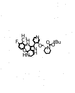 Cc1c(F)cccc1Nc1c(-c2ccncc2OC[C@H]2CCCCN2C(=O)OC(C)(C)C)[nH]c2c1C(=O)NCC2